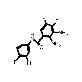 Nc1c(C(=O)Nc2ccc(F)c(Cl)c2)cc(F)c(F)c1N